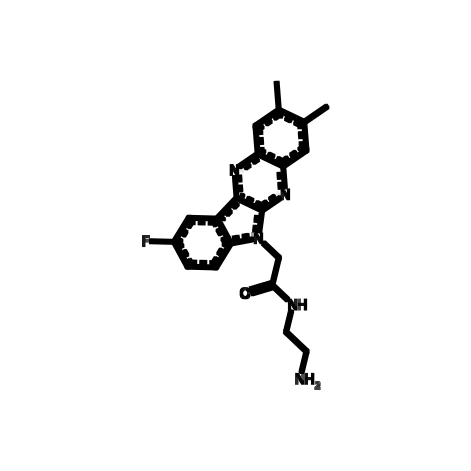 Cc1cc2nc3c4cc(F)ccc4n(CC(=O)NCCN)c3nc2cc1C